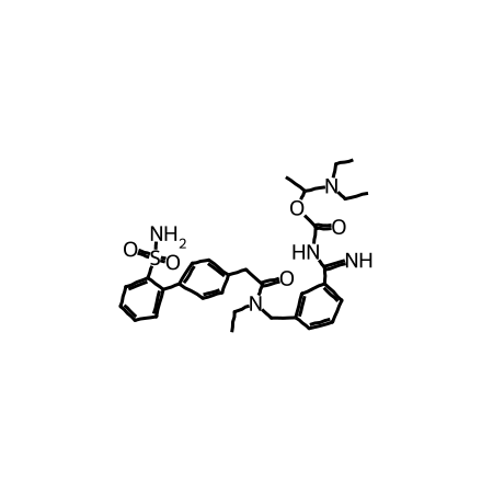 CCN(Cc1cccc(C(=N)NC(=O)OC(C)N(CC)CC)c1)C(=O)Cc1ccc(-c2ccccc2S(N)(=O)=O)cc1